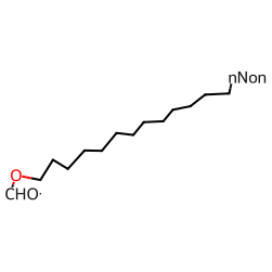 CCCCCCCCCCCCCCCCCCCCCCO[C]=O